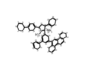 CN1C(C2=CC=C(C3CCCCC3)CC2)CC(C2=CCCCC2)[C@@]1(N)C1C=C(C2=CC=CCC2)C=C(c2cc3c4c(ccc3c3c2CCC=C3)CCC=C4)C1